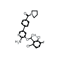 CC(Oc1cc(-c2ccc(C(=O)N3CCCC3)cc2)cnc1N)c1c(Cl)ccc(F)c1Cl